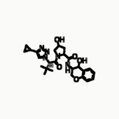 CC(C)(C)[C@@H](C(=O)N1CC(O)CC1C(=O)NC1COc2ccccc2C1O)n1cc(C2CC2)nn1